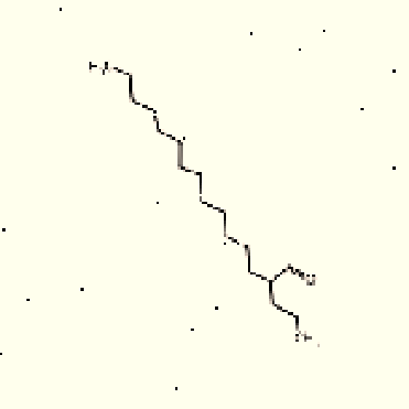 CCCCCCCCCCCCCC(C=O)CCC